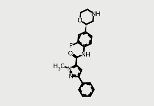 Cn1nc(-c2ccccc2)cc1C(=O)Nc1ccc([C@@H]2CNCCO2)cc1F